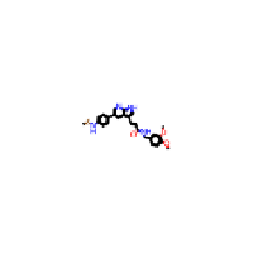 COc1ccc(CNC(=O)/C=C/c2c[nH]c3ncc(-c4ccc(NSC)cc4)cc23)cc1OC